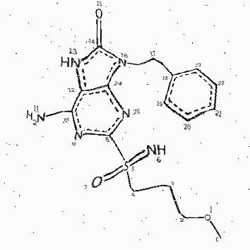 COCCCS(=N)(=O)c1nc(N)c2[nH]c(=O)n(Cc3ccccc3)c2n1